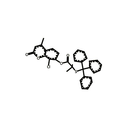 Cc1cc(=O)oc2c(Cl)c(OC(=O)C(C)(C)SC(c3ccccc3)(c3ccccc3)c3ccccc3)ccc12